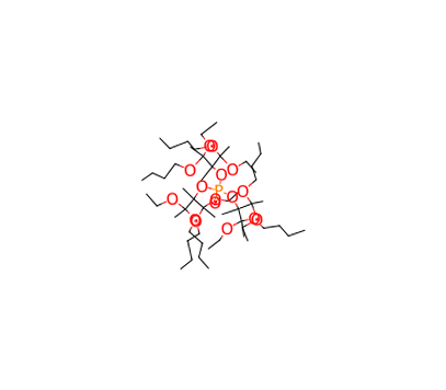 CCCCOC(C)(OCC)C(C)(OP(=O)(OC(C)(C(C)(OCC)OCCCC)C(C)(OCC)OCCCC)OC(C)(C(C)(OCC)OCCCC)C(C)(OCC)OCCCC)C(C)(OCC)OCCCC